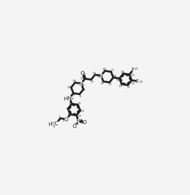 CCOc1cc(NC2CCN(C(=O)CCN3CCC(c4ccc(F)c(F)c4)CC3)CC2)ccc1[N+](=O)[O-]